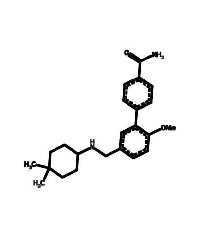 COc1ccc(CNC2CCC(C)(C)CC2)cc1-c1ccc(C(N)=O)cc1